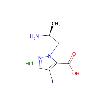 C[C@H](N)Cn1ncc(I)c1C(=O)O.Cl